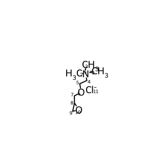 C[N+](C)(C)CCOCC1CO1.[Cl-]